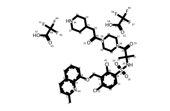 Cc1ccc2cccc(OCc3c(Cl)ccc(S(=O)(=O)NC(C)(C)C(=O)N4CCN(C(=O)CC5CCNCC5)CC4)c3Cl)c2n1.O=C(O)C(F)(F)F.O=C(O)C(F)(F)F